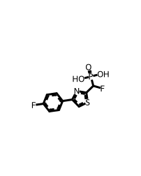 O=P(O)(O)C(F)c1nc(-c2ccc(F)cc2)cs1